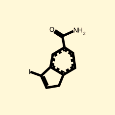 NC(=O)c1ccc2c(c1)C(I)=CC2